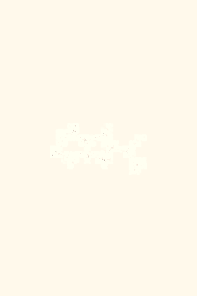 O=C(O)c1nc2ncncc2[nH]1